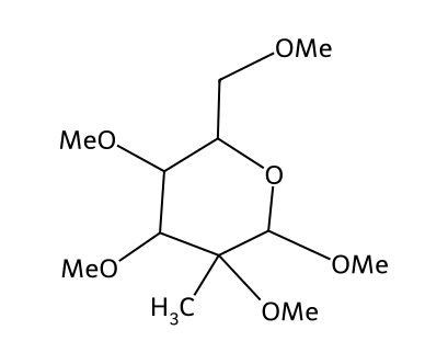 COCC1OC(OC)C(C)(OC)C(OC)C1OC